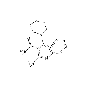 NC(=O)c1c(N)nc2ccccc2c1C1CCCCC1